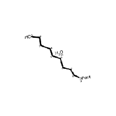 CCCCCCCCCCCCCO.O